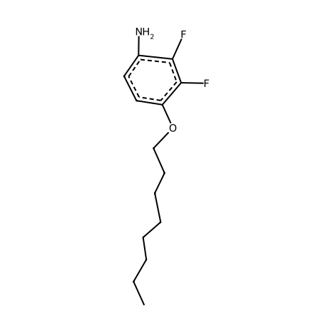 CCCCCCCCOc1ccc(N)c(F)c1F